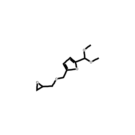 COC(OC)c1ccc(COCC2CO2)o1